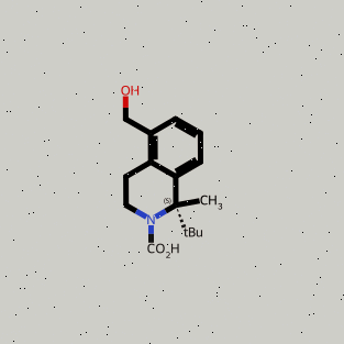 CC(C)(C)[C@@]1(C)c2cccc(CO)c2CCN1C(=O)O